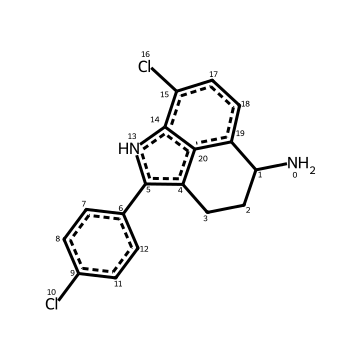 NC1CCc2c(-c3ccc(Cl)cc3)[nH]c3c(Cl)ccc1c23